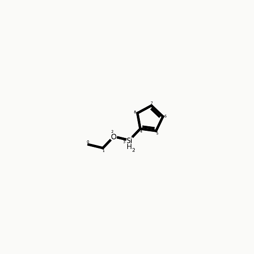 CCO[SiH2]C1=CC=CC1